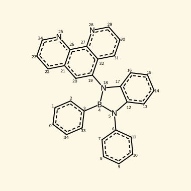 c1ccc(B2N(c3ccccc3)c3ccccc3N2c2cc3cccnc3c3ncccc23)cc1